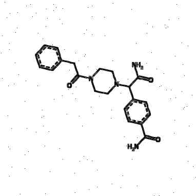 NC(=O)c1ccc(C(C(N)=O)N2CCN(C(=O)Cc3ccccc3)CC2)cc1